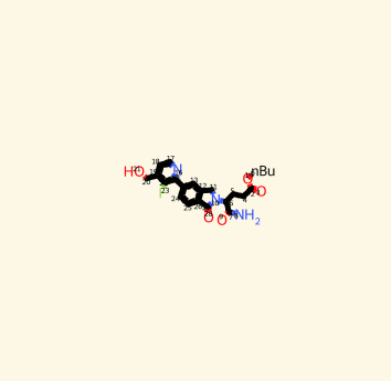 CCCCOC(=O)CCC(C(N)=O)N1Cc2cc(-c3nccc(CO)c3F)ccc2C1=O